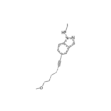 COCCCCC#Cc1ccc2c(cnn2PI)c1